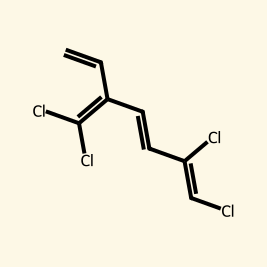 C=CC(C=CC(Cl)=CCl)=C(Cl)Cl